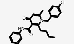 CCCCc1c(C(=O)Nc2ccccc2)c(=O)cc(C)n1Cc1ccc(Cl)cc1